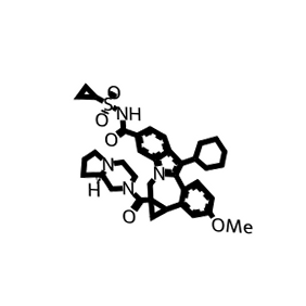 COc1ccc2c(c1)C1CC1(C(=O)N1CCN3CCC[C@@H]3C1)Cn1c-2c(C2CCCCC2)c2ccc(C(=O)NS(=O)(=O)C3CC3)cc21